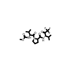 COC(=O)N[C@H](C(=O)N1CCCC1C(=O)N[C@H](C(=O)C(F)(F)F)C(C)C)C(C)C